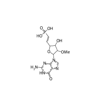 COC1C(O)C(/C=C/P(=O)(O)O)OC1n1cnc2c(=O)[nH]c(N)nc21